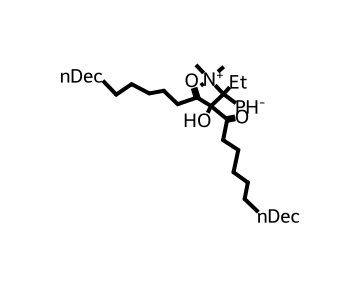 CCCCCCCCCCCCCCCC(=O)C(O)(C(=O)CCCCCCCCCCCCCCC)C([PH-])(CC)[N+](C)(C)C